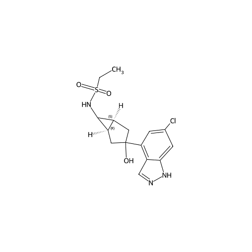 CCS(=O)(=O)NC1[C@H]2CC(O)(c3cc(Cl)cc4[nH]ncc34)C[C@@H]12